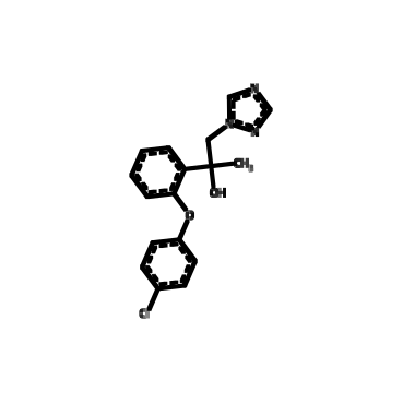 CC(O)(Cn1cncn1)c1ccccc1Oc1ccc(Cl)cc1